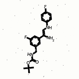 CC(C)(C)OC(=O)NCc1cc(F)cc(/C(N)=C/Nc2ccc(F)cc2)c1